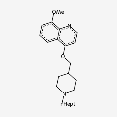 CCCCCCCN1CCC(COc2ccnc3c(OC)cccc23)CC1